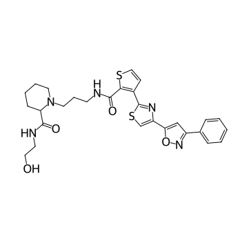 O=C(NCCCN1CCCCC1C(=O)NCCO)c1sccc1-c1nc(-c2cc(-c3ccccc3)no2)cs1